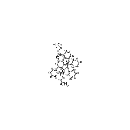 C=CCB(Oc1ccc(OP(CC=C)c2ccccc2)c(P2(=O)Oc3ccccc3-c3ccccc32)c1)c1ccccc1